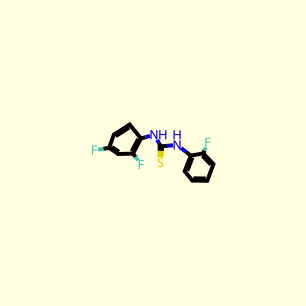 Fc1ccc(NC(=S)Nc2ccccc2F)c(F)c1